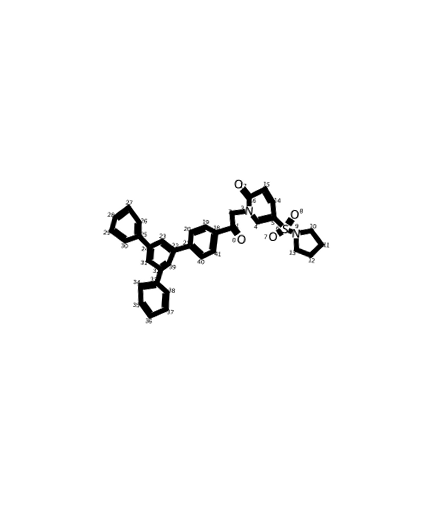 O=C(Cn1cc(S(=O)(=O)N2CCCC2)ccc1=O)c1ccc(-c2cc(-c3ccccc3)cc(-c3ccccc3)c2)cc1